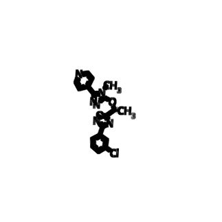 C[C@@H](Oc1nnc(-c2ccncc2)n1C)c1nc(-c2cccc(Cl)c2)no1